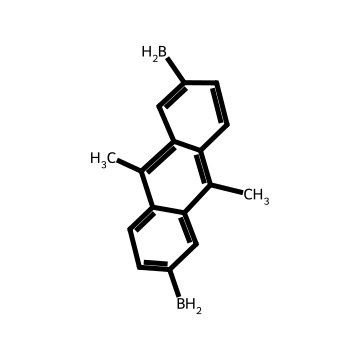 Bc1ccc2c(C)c3cc(B)ccc3c(C)c2c1